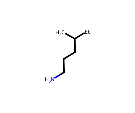 CCC(C)C[CH]CN